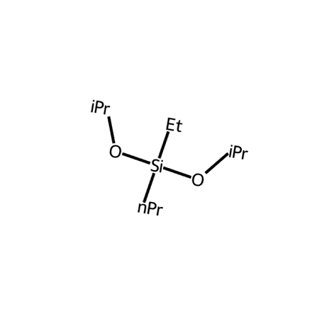 CCC[Si](CC)(OC(C)C)OC(C)C